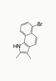 Cc1[nH]c2c(ccc3c(Br)cccc32)c1C